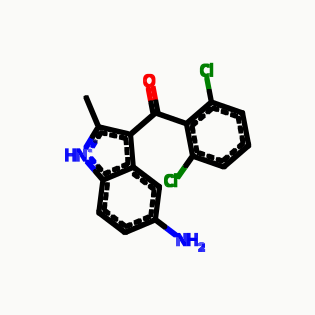 Cc1[nH]c2ccc(N)cc2c1C(=O)c1c(Cl)cccc1Cl